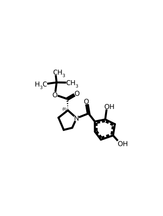 CC(C)(C)OC(=O)[C@H]1CCCN1C(=O)c1ccc(O)cc1O